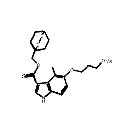 COCCCOc1ccc2[nH]cc(C(=O)OCC34CCC(CC3)CC4)c2c1C